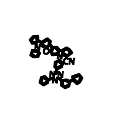 N#Cc1cc(-c2nc(-c3ccccc3)nc(-c3cccc(-c4ccccc4)c3)n2)ccc1-n1c2ccccc2c2cc3c(cc21)oc1c3ccc2c3ccccc3n(-c3ccccc3)c21